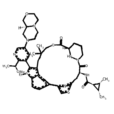 CCn1c(-c2cc(N3CCN4CCOC[C@@H]4C3)cnc2[C@H](C)OC)c2c3cc(ccc31)-c1csc(n1)C[C@H](NC(=O)[C@H]1[C@H](C)[C@@H]1C)C(=O)N1CCC[C@H](N1)C(=O)OCC(C)(C)C2